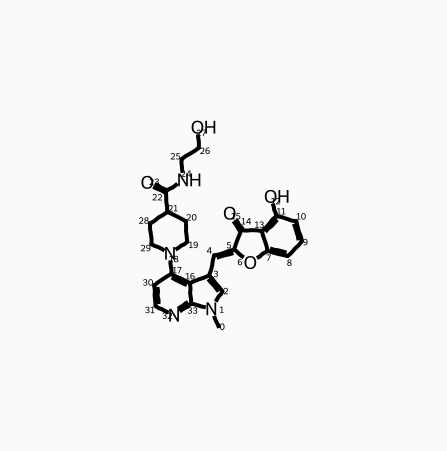 Cn1cc(C=C2Oc3cccc(O)c3C2=O)c2c(N3CCC(C(=O)NCCO)CC3)ccnc21